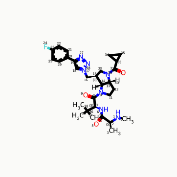 CN[C@@H](C)C(=O)N[C@H](C(=O)N1CC[C@@H]2[C@H]1[C@@H](Cn1cc(-c3ccc(F)cc3)nn1)CN2C(=O)C1CC1)C(C)(C)C